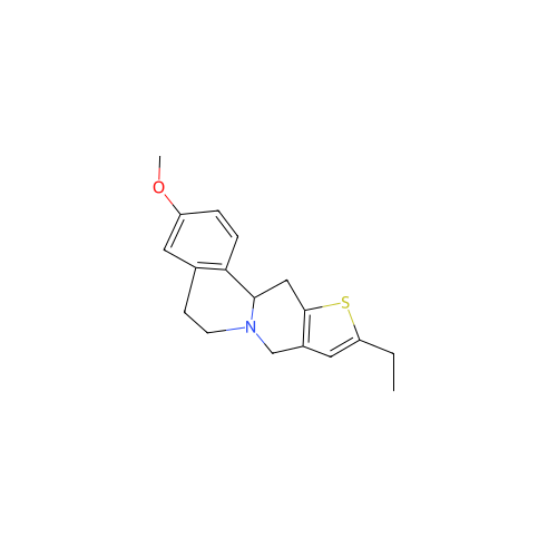 CCc1cc2c(s1)CC1c3ccc(OC)cc3CCN1C2